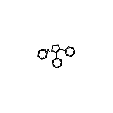 C1=[CH][GeH]([c]2ccccc2)[C](c2ccccc2)=C1c1ccccc1